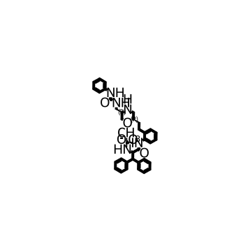 COC(=O)NC(C(=O)Nc1ccccc1CC[C@@H]1CN[C@H](CNC(=O)Nc2ccccc2)CO1)C(c1ccccc1)c1ccccc1